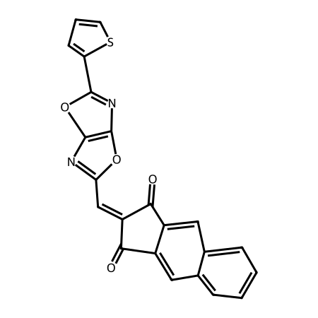 O=C1C(=Cc2nc3oc(-c4cccs4)nc3o2)C(=O)c2cc3ccccc3cc21